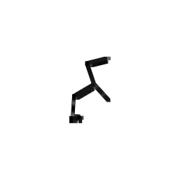 [CH]=C/C(C)=C/CCC